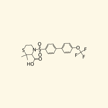 CC1(C)SCCN(S(=O)(=O)c2ccc(-c3ccc(OC(F)(F)F)cc3)cc2)C1C(=O)O